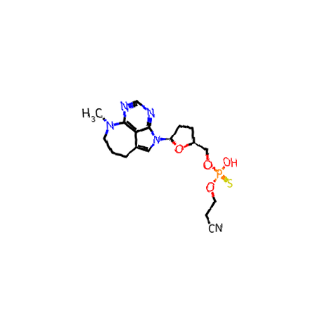 CN1CCCc2cn([C@H]3CC[C@@H](COP(O)(=S)OCCC#N)O3)c3ncnc1c23